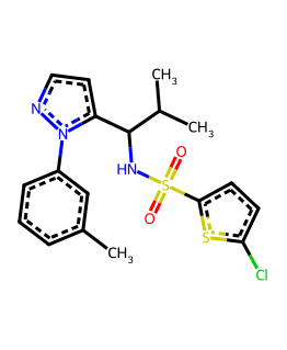 Cc1cccc(-n2nccc2C(NS(=O)(=O)c2ccc(Cl)s2)C(C)C)c1